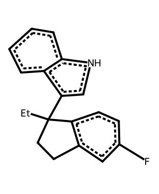 CCC1(c2c[nH]c3ccccc23)CCc2cc(F)ccc21